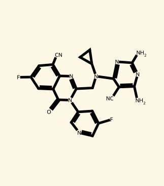 N#Cc1c(N)nc(N)nc1N(Cc1nc2c(C#N)cc(F)cc2c(=O)n1-c1cncc(F)c1)C1CC1